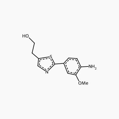 COc1cc(-c2ncc(CCO)s2)ccc1N